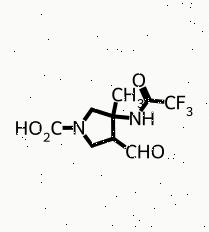 CC1(NC(=O)C(F)(F)F)CN(C(=O)O)CC1C=O